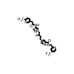 Cc1ccc(CC(=O)Nc2cn(CC(F)CCn3cc(C(=O)NCc4cc(C(F)(F)F)ccn4)nn3)nn2)cn1